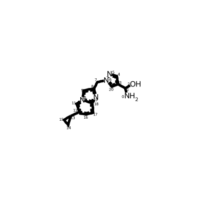 NC(O)c1cnn(Cc2cn3cc(C4CC4)ccc3n2)c1